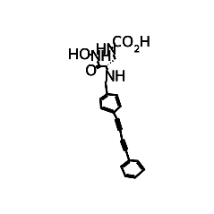 O=C(O)NC[C@H](NCc1ccc(C#CC#Cc2ccccc2)cc1)C(=O)NO